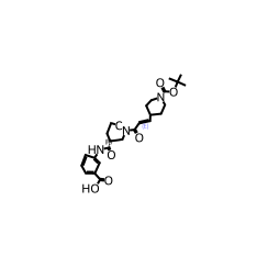 CC(C)(C)OC(=O)N1CCC(/C=C/C(=O)N2CCC[C@@H](C(=O)Nc3cccc(C(=O)O)c3)C2)CC1